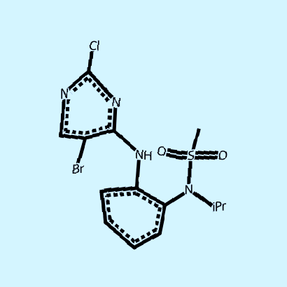 CC(C)N(c1ccccc1Nc1nc(Cl)ncc1Br)S(C)(=O)=O